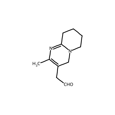 CC1=C(CC=O)CN2CCCCC2=N1